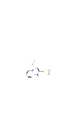 CC1SC(c2c[n+](CCC#N)c3ccccn3c2=O)SC1C